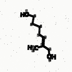 C/C(=C\CCCCO)CO